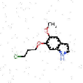 COc1cc2cc[nH]c2cc1OCCCCl